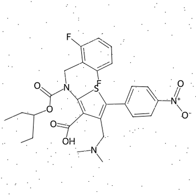 CCC(CC)OC(=O)N(Cc1c(F)cccc1F)c1sc(-c2ccc([N+](=O)[O-])cc2)c(CN(C)C)c1C(=O)O